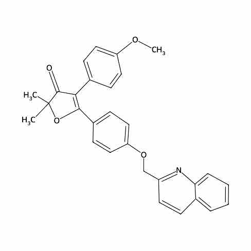 COc1ccc(C2=C(c3ccc(OCc4ccc5ccccc5n4)cc3)OC(C)(C)C2=O)cc1